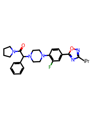 CC(C)c1noc(-c2ccc(N3CCN(C(C(=O)N4CCCC4)c4ccccc4)CC3)c(F)c2)n1